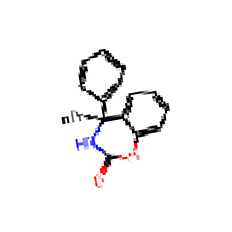 CCCC1(c2ccccc2)NC(=O)Oc2ccccc21